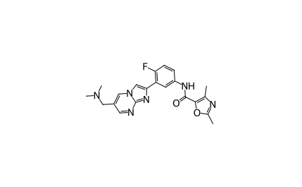 Cc1nc(C)c(C(=O)Nc2ccc(F)c(-c3cn4cc(CN(C)C)cnc4n3)c2)o1